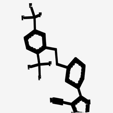 N#Cc1[nH]nnc1-c1cccc(CCc2cc(C(F)(F)F)ccc2C(F)(F)F)c1